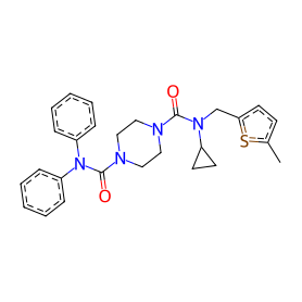 Cc1ccc(CN(C(=O)N2CCN(C(=O)N(c3ccccc3)c3ccccc3)CC2)C2CC2)s1